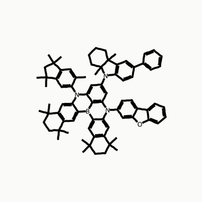 Cc1cc2c(cc1N1c3cc4c(cc3B3c5cc6c(cc5N(c5ccc7c(c5)oc5ccccc57)c5cc(N7c8ccc(-c9ccccc9)cc8C8(C)CCCCC78C)cc1c53)C(C)(C)CCC6(C)C)C(C)(C)CCC4(C)C)C(C)(C)CC2(C)C